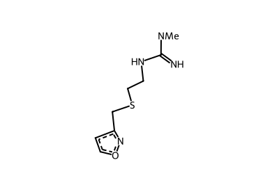 CNC(=N)NCCSCc1ccon1